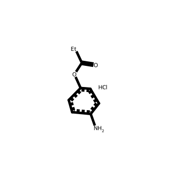 CCC(=O)Oc1ccc(N)cc1.Cl